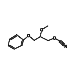 COC(COC#N)COc1ccccc1